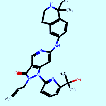 C=CCn1c(=O)c2cnc(Nc3ccc4c(c3)CCNC4(C)C)cc2n1-c1cccc(C(C)(C)O)n1